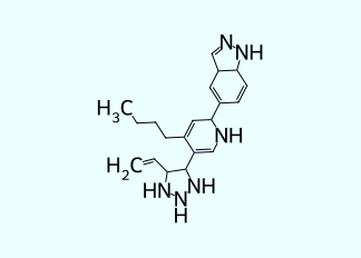 C=CC1NNNC1C1=CNC(C2=CC3C=NNC3C=C2)C=C1CCCC